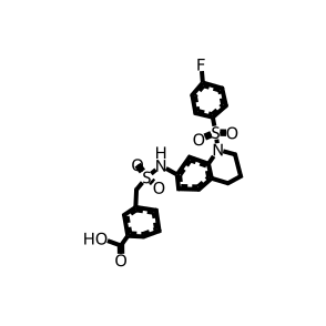 O=C(O)c1cccc(CS(=O)(=O)Nc2ccc3c(c2)N(S(=O)(=O)c2ccc(F)cc2)CCC3)c1